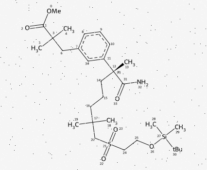 COC(=O)C(C)(C)Cc1cccc([C@@](C)(CCCC(C)(C)CS(=O)(=O)CCO[Si](C)(C)C(C)(C)C)C(N)=O)c1